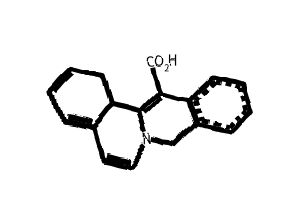 O=C(O)C1=C2C3CC=CC=C3C=CN2Cc2ccccc21